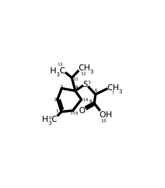 CC1=CCC(SC(C)C(=O)O)(C(C)C)CC1